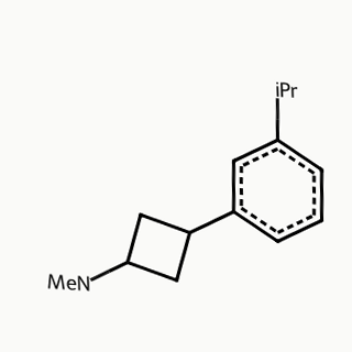 CNC1CC(c2cccc(C(C)C)c2)C1